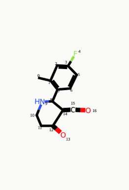 Cc1cc(F)ccc1C1NCCC(=O)C1=C=O